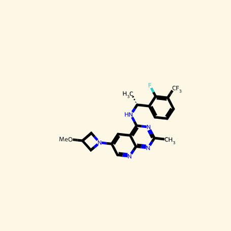 COC1CN(c2cnc3nc(C)nc(N[C@H](C)c4cccc(C(F)(F)F)c4F)c3c2)C1